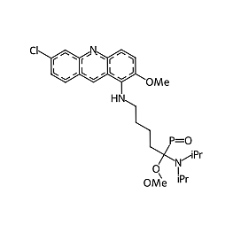 COOC(CCCCNc1c(OC)ccc2nc3cc(Cl)ccc3cc12)(P=O)N(C(C)C)C(C)C